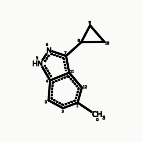 Cc1ccc2[nH]nc(C3CC3)c2c1